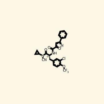 N#CN(C(=O)[C@H](Cc1ccc(OC(F)(F)F)c(Cl)c1)NC(=O)c1cc(-c2ccccc2)no1)C1CC1